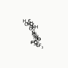 Cc1ccc(NC(=O)CCN2CC3CN(C(=O)c4cc(F)cc(C(F)(F)F)c4)CC3C2)cc1Cl